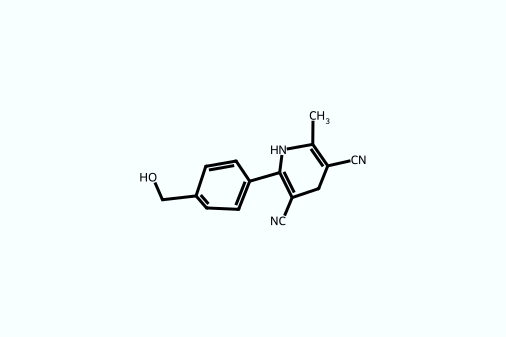 CC1=C(C#N)CC(C#N)=C(c2ccc(CO)cc2)N1